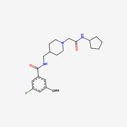 COc1cc(F)cc(C(=O)NCC2CCN(CC(=O)NC3CCCC3)CC2)c1